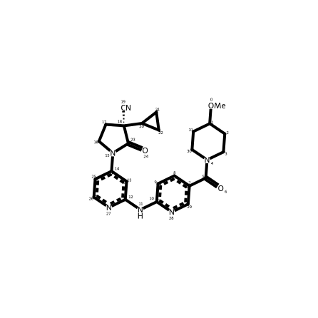 COC1CCN(C(=O)c2ccc(Nc3cc(N4CC[C@@](C#N)(C5CC5)C4=O)ccn3)nc2)CC1